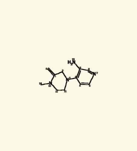 C=C1CN(c2ccncc2N)CCN1C